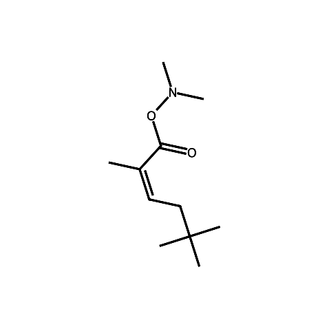 CC(=CCC(C)(C)C)C(=O)ON(C)C